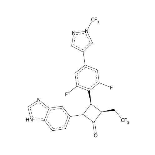 O=C1C(c2ccc3[nH]cnc3c2)[C@@H](c2c(F)cc(-c3cnn(C(F)(F)F)c3)cc2F)[C@H]1CC(F)(F)F